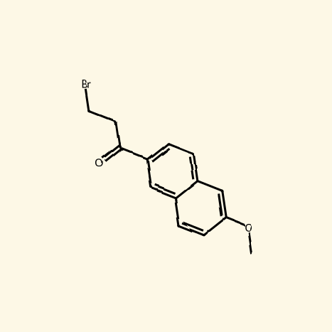 COc1ccc2cc(C(=O)CCBr)ccc2c1